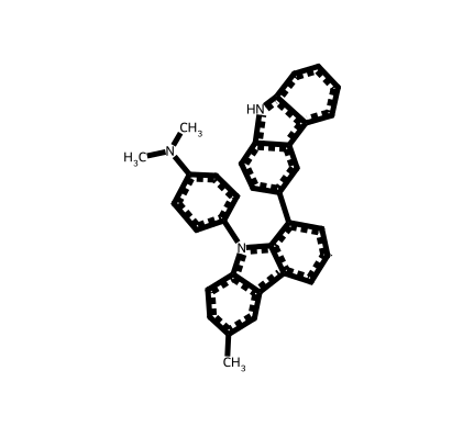 Cc1ccc2c(c1)c1c[c]cc(-c3ccc4[nH]c5ccccc5c4c3)c1n2-c1ccc(N(C)C)cc1